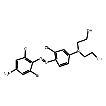 O=[N+]([O-])c1cc(Cl)c(N=Nc2ccc(N(CCO)CCO)cc2Cl)c(Br)c1